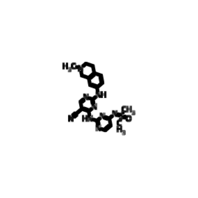 CN1CCc2ccc(Nc3ncc(C#N)c(Nc4nccc(N=S(C)(C)=O)n4)n3)cc2C1